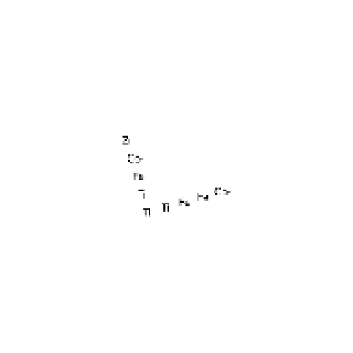 [Co].[Co].[Fe].[Fe].[Fe].[Ti].[Ti].[Ti].[Zn]